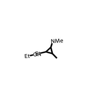 CCC1C(C)C1NC.CCO